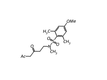 COc1cc(C)c(S(=O)(=O)N(C)CCC(=O)CC(C)=O)c(C)c1